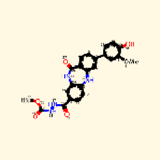 COc1cc(-c2ccc3c(c2)Nc2ccc(C(=O)NNC(=O)OC(C)(C)C)cc2NC3=O)ccc1O